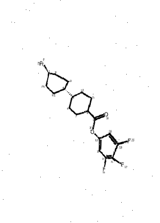 CCC[C@H]1CC[C@H](C2CCC(C(=O)Oc3cc(F)c(F)c(F)c3)CC2)CC1